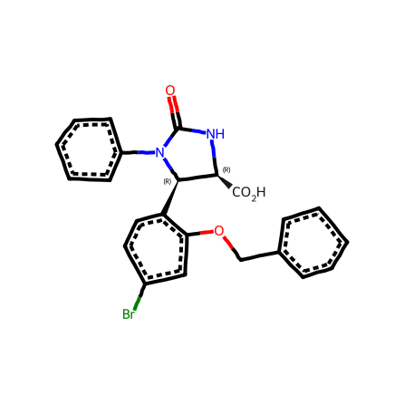 O=C(O)[C@@H]1NC(=O)N(c2ccccc2)[C@@H]1c1ccc(Br)cc1OCc1ccccc1